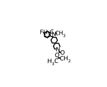 C=C(C)OC(=O)N1CCC2(CC1)CCC(c1ccc(F)cc1)(N(C)C)CC2